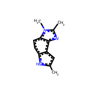 Cc1cc2c(ccc3c2nc(C)n3C)[nH]1